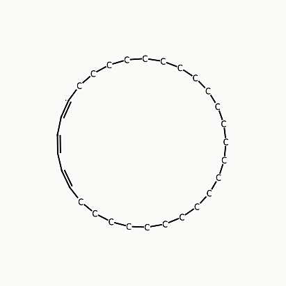 [C]1=C/C=C\C=C/CCCCCCCCCCCCCCCCCCCCCCC\1